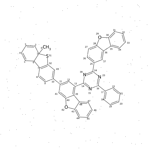 CC12C=CC=CC1c1ccc(-c3cc(-c4nc(-c5ccccc5)nc(-c5ccc6oc7ccccc7c6c5)n4)c4c(c3)oc3ccccc34)cc1S2